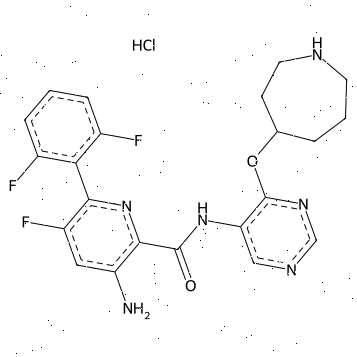 Cl.Nc1cc(F)c(-c2c(F)cccc2F)nc1C(=O)Nc1cncnc1OC1CCCNCC1